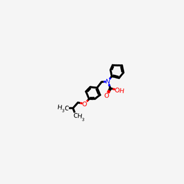 CC(C)COc1ccc(CN(C(=O)O)c2ccccc2)cc1